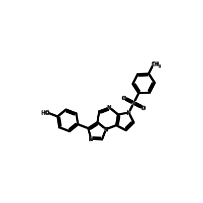 Cc1ccc(S(=O)(=O)n2ccc3c2ncc2c(-c4ccc(O)cc4)ncn23)cc1